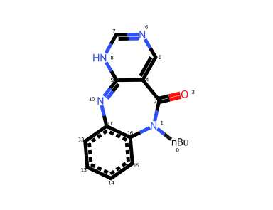 CCCCN1C(=O)C2=CN=CNC2=Nc2ccccc21